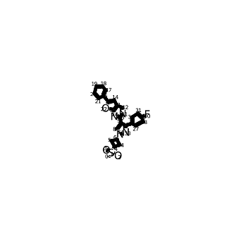 CS(=O)(=O)C1CC(n2cc(-c3ncc4cc(-c5ccccc5)oc4n3)c(-c3ccc(F)cc3)n2)C1